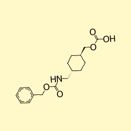 O=C(O)OC[C@H]1CC[C@H](CNC(=O)OCc2ccccc2)CC1